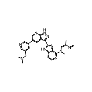 C=N/C(C)=C\N(C)c1nccc2[nH]c(-c3n[nH]c4ncc(-c5cncc(CN(C)C)c5)cc34)nc12